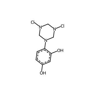 Oc1ccc(N2CN(Cl)CN(Cl)C2)c(O)c1